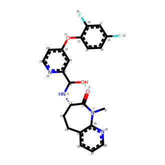 CN1C(=O)[C@@H](NC(O)c2cc(Oc3ccc(F)cc3F)ccn2)CCc2cccnc21